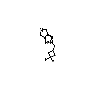 FC1(F)CC(Cn2cc3c(n2)CNC3)C1